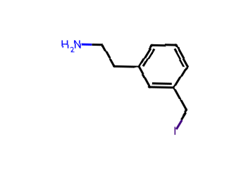 NCCc1cccc(CI)c1